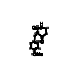 COc1ccc(CN2C(=O)CCNC2=O)cc1